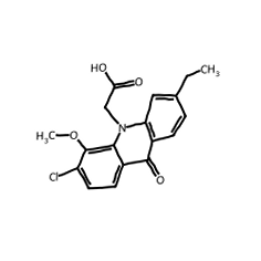 CCc1ccc2c(=O)c3ccc(Cl)c(OC)c3n(CC(=O)O)c2c1